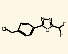 FC(F)c1nnc(-c2ccc(CCl)cc2)o1